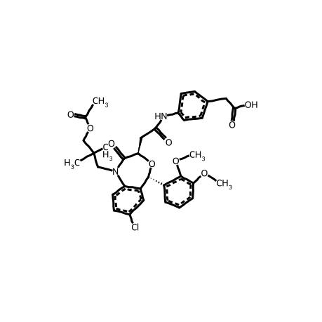 COc1cccc([C@H]2O[C@H](CC(=O)Nc3ccc(CC(=O)O)cc3)C(=O)N(CC(C)(C)COC(C)=O)c3ccc(Cl)cc32)c1OC